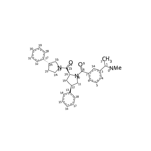 CNC(C)c1cccc(C(=O)N2C[C@@H](c3ccccc3)C[C@H]2C(=O)N2CC[C@H](c3ccccc3)C2)c1